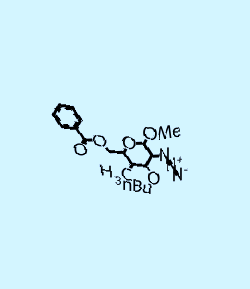 CCCCO[C@H]1C(C)C(COC(=O)c2ccccc2)OC(OC)C1N=[N+]=[N-]